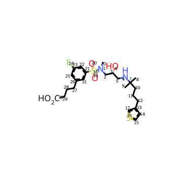 CN(C[C@H](O)CNC(C)(C)CCCc1ccsc1)S(=O)(=O)c1cc(F)cc(CCCC(=O)O)c1